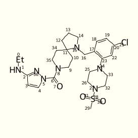 CCNc1ccn(C(=O)N2CCC3(CCCN3Cc3ccc(Cl)cc3N3CCN(S(C)(=O)=O)CC3)CC2)n1